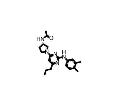 CCCc1cc(N2CC[C@H](NC(C)=O)C2)nc(Nc2ccc(C)c(C)c2)n1